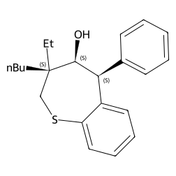 CCCC[C@]1(CC)CSc2ccccc2[C@H](c2ccccc2)[C@@H]1O